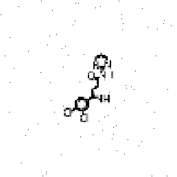 N=C(CCC(=O)Nc1ncccn1)c1ccc(Cl)c(Cl)c1